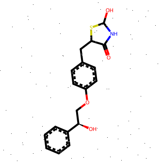 O=C1NC(O)SC1Cc1ccc(OC[C@@H](O)c2ccccc2)cc1